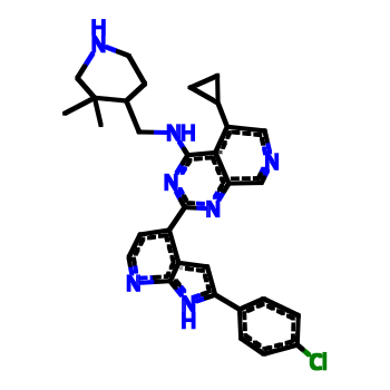 CC1(C)CNCCC1CNc1nc(-c2ccnc3[nH]c(-c4ccc(Cl)cc4)cc23)nc2cncc(C3CC3)c12